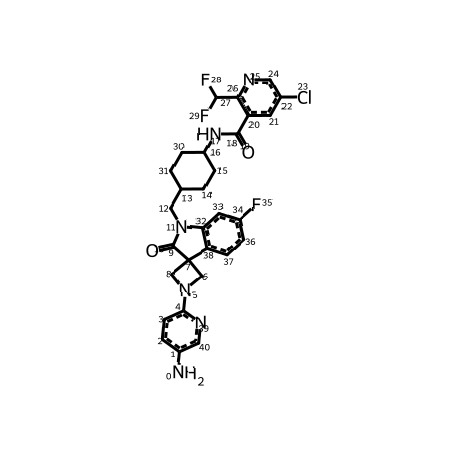 Nc1ccc(N2CC3(C2)C(=O)N(CC2CCC(NC(=O)c4cc(Cl)cnc4C(F)F)CC2)c2cc(F)ccc23)nc1